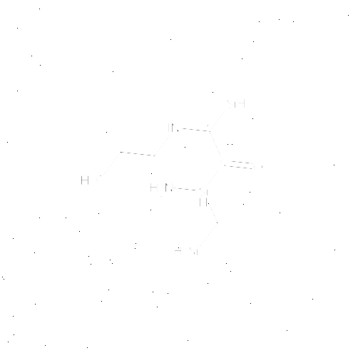 CCCNC([SiH3])[Si](=O)[SiH](N)C[SiH3]